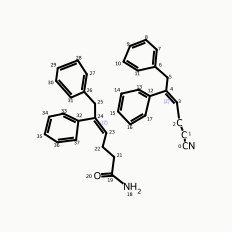 N#CCC/C=C(/Cc1ccccc1)c1ccccc1.NC(=O)CC/C=C(/Cc1ccccc1)c1ccccc1